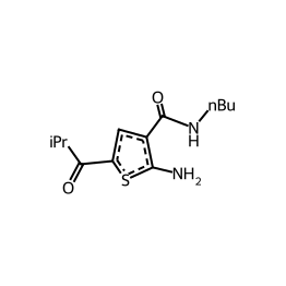 CCCCNC(=O)c1cc(C(=O)C(C)C)sc1N